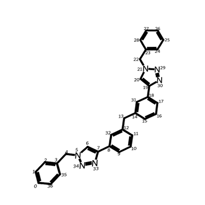 c1ccc(Cn2cc(-c3cccc(Cc4cccc(-c5cn(Cc6ccccc6)nn5)c4)c3)nn2)cc1